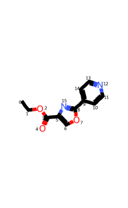 CCOC(=O)c1coc(-c2ccncc2)n1